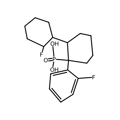 O=P(O)(O)C1(c2ccccc2F)CCCCC1C1CCCCC1F